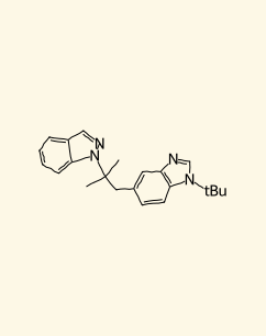 CC(C)(C)n1cnc2cc(CC(C)(C)n3ncc4ccccc43)ccc21